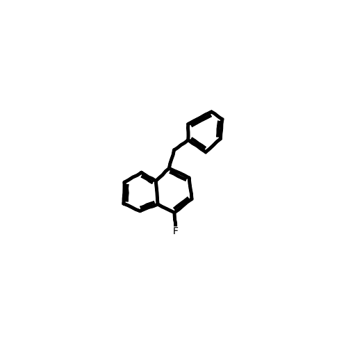 Fc1ccc(Cc2ccccc2)c2ccccc12